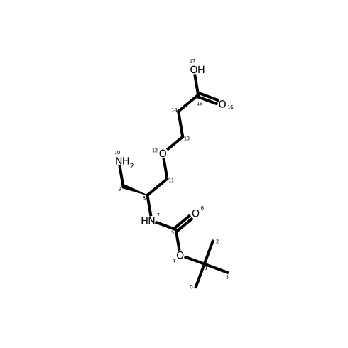 CC(C)(C)OC(=O)N[C@@H](CN)COCCC(=O)O